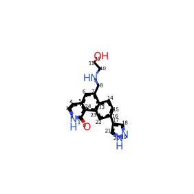 O=c1[nH]ccc2cc(CNCCO)c3ccc(-c4cn[nH]c4)cc3c12